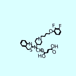 CN(C1=Nc2ccccc2CS1)C1CCN(CCCCOc2cccc(F)c2F)CC1.O=C(O)C=CC(=O)O